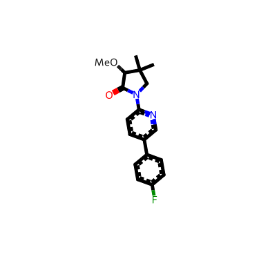 COC1C(=O)N(c2ccc(-c3ccc(F)cc3)cn2)CC1(C)C